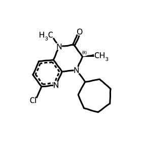 C[C@@H]1C(=O)N(C)c2ccc(Cl)nc2N1C1CCCCCC1